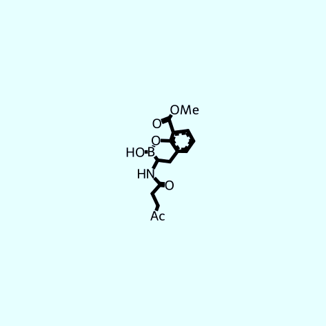 COC(=O)c1cccc2c1OB(O)C(NC(=O)CCC(C)=O)C2